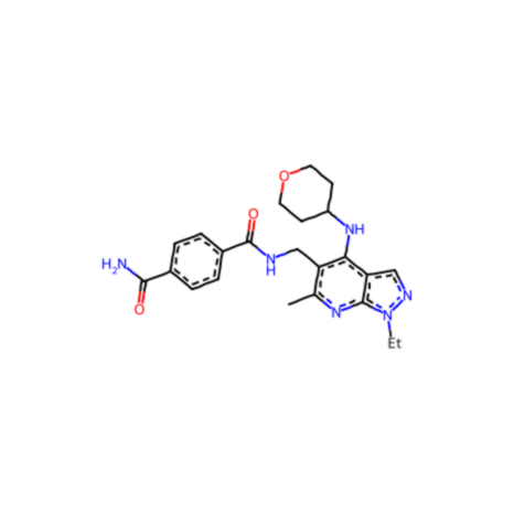 CCn1ncc2c(NC3CCOCC3)c(CNC(=O)c3ccc(C(N)=O)cc3)c(C)nc21